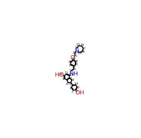 Oc1ccc(C2Cc3cc(O)cc(NCCc4ccc(OCCN5CCCCCC5)cc4)c3C2)cc1